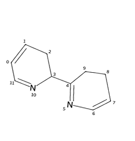 C1=CCC(C2=NC=CCC2)N=C1